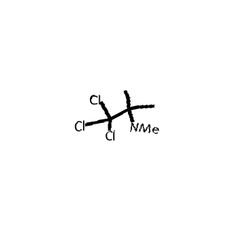 CNC(C)(C)C(Cl)(Cl)Cl